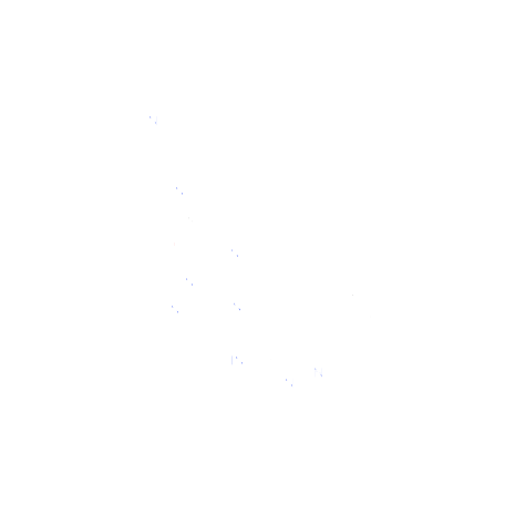 NC1CN(C(=O)[C@@H]2CCCN2c2nc(Nc3cc(C4CC4)[nH]n3)c3cccn3n2)C1